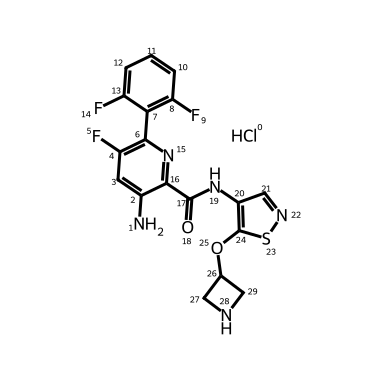 Cl.Nc1cc(F)c(-c2c(F)cccc2F)nc1C(=O)Nc1cnsc1OC1CNC1